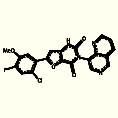 COc1cc(-c2cc3[nH]c(=O)n(-c4cncc5cccnc45)c(=O)c3o2)c(Cl)cc1F